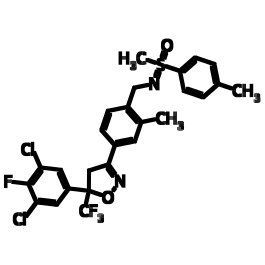 Cc1ccc(S(C)(=O)=NCc2ccc(C3=NOC(c4cc(Cl)c(F)c(Cl)c4)(C(F)(F)F)C3)cc2C)cc1